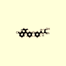 Cc1cnc2c(Cl)cccc2c1-c1cccc(Oc2cccc(C(=O)NC(CO)C(C)C)c2)c1